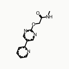 CNC(=O)COc1ncc(-c2ccccn2)cn1